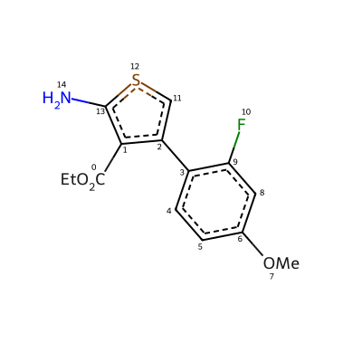 CCOC(=O)c1c(-c2ccc(OC)cc2F)csc1N